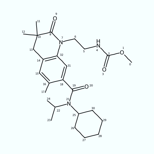 COC(=O)NCCN1C(=O)C(C)(C)Cc2cc(C)c(C(=O)N(C(C)C)C3CCCCC3)cc21